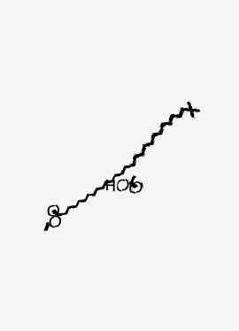 C=COC(=O)CCCCCCCCCCCCCCCCCCCCCCCCCCC(C)(C)C.CC(=O)O